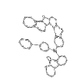 c1ccc(-c2ccc(N(c3ccc4sc5ccc6oc7c8ccccc8ccc7c6c5c4c3)c3cccc4c3oc3ccccc34)cc2)cc1